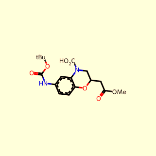 COC(=O)CC1CN(C(=O)O)c2cc(NC(=O)OC(C)(C)C)ccc2O1